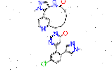 C[C@@H]1CCC[C@H](n2cnc(-c3cc(Cl)ccc3-c3cnn(C)c3)cc2=O)c2cc(ccn2)-c2c(cnn2C)NC1=O